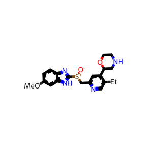 CCc1cnc(C[S+]([O-])c2nc3ccc(OC)cc3[nH]2)cc1C1CNCCO1